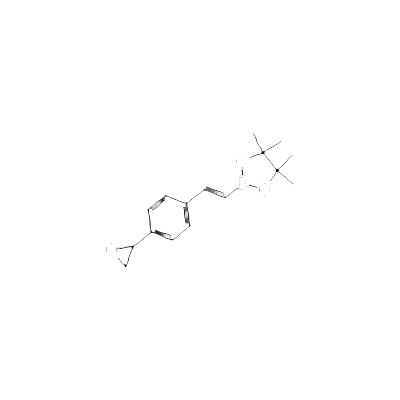 CC1(C)OB(/C=C/c2ccc(C3CO3)cc2)OC1(C)C